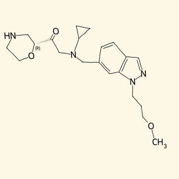 COCCCn1ncc2ccc(CN(CC(=O)[C@H]3CNCCO3)C3CC3)cc21